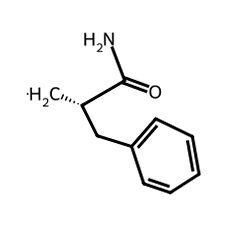 [CH2][C@@H](Cc1ccccc1)C(N)=O